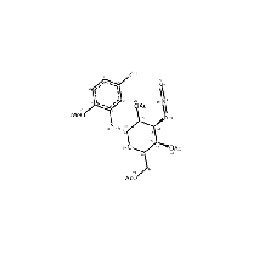 COc1ccc(Cl)cc1S[C@H]1OC(COC(C)=O)[C@H](OC(C)=O)[C@H](N=[N+]=[N-])C1OC(C)=O